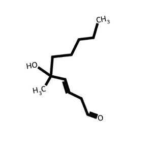 CCCCCC(C)(O)C=CCC=O